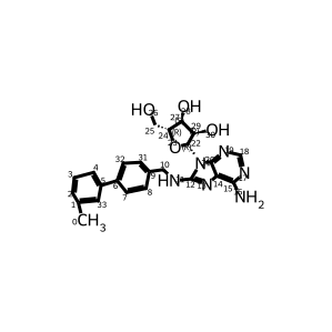 Cc1cccc(-c2ccc(CNc3nc4c(N)ncnc4n3[C@@H]3O[C@H](CO)[C@@H](O)[C@H]3O)cc2)c1